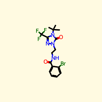 CC(C)(C)n1c(C(F)(F)F)nn(CCNC(=O)c2ccccc2Br)c1=O